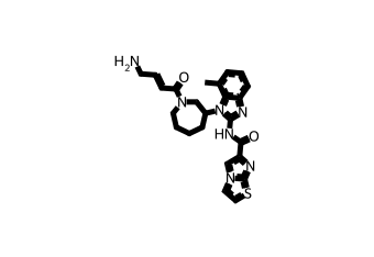 Cc1cccc2nc(NC(=O)c3cn4ccsc4n3)n(C3CCCCN(C(=O)/C=C/CN)C3)c12